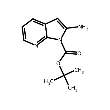 CC(C)(C)OC(=O)n1c(N)cc2cccnc21